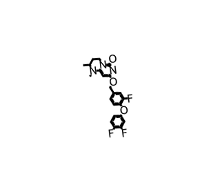 CC1CCn2c(cc(OCc3ccc(Oc4ccc(F)c(F)c4)c(F)c3)nc2=O)N1C